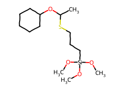 CO[Si](CCCSC(C)OC1CCCCC1)(OC)OC